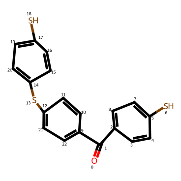 O=C(c1ccc(S)cc1)c1ccc(Sc2ccc(S)cc2)cc1